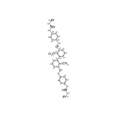 Cc1c(OCc2ccc(CNCC(C)C)cc2)cccc1-c1cccc(OCc2ccc(CNCC(C)C)cc2)c1C